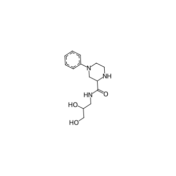 O=C(NCC(O)CO)C1CN(c2ccccc2)CCN1